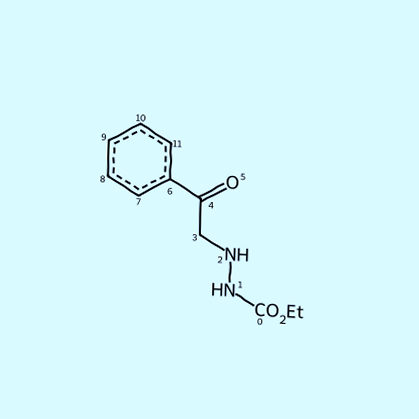 CCOC(=O)NNCC(=O)c1ccccc1